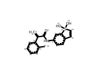 C=C(C(=O)Nc1ccc2c(c1)S(O)(O)C=C2)c1ccccc1F